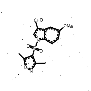 COc1ccc2c(c1)c(C=O)cn2S(=O)(=O)c1c(C)noc1C